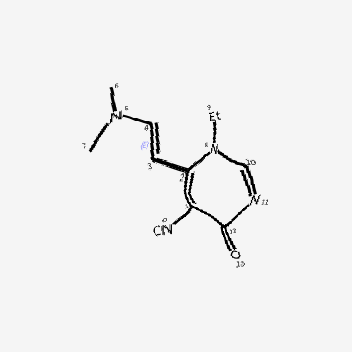 [C-]#[N+]c1c(/C=C/N(C)C)n(CC)cnc1=O